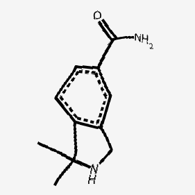 CC1(C)NCc2cc(C(N)=O)ccc21